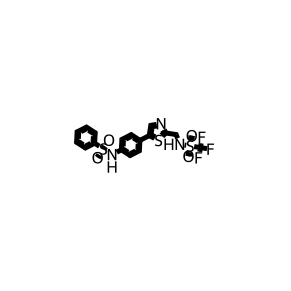 O=S(=O)(Nc1ccc(-c2cnc(CNS(=O)(=O)C(F)(F)F)s2)cc1)c1ccccc1